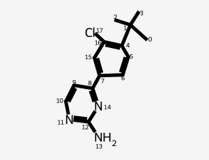 CC(C)(C)c1ccc(-c2ccnc(N)n2)cc1Cl